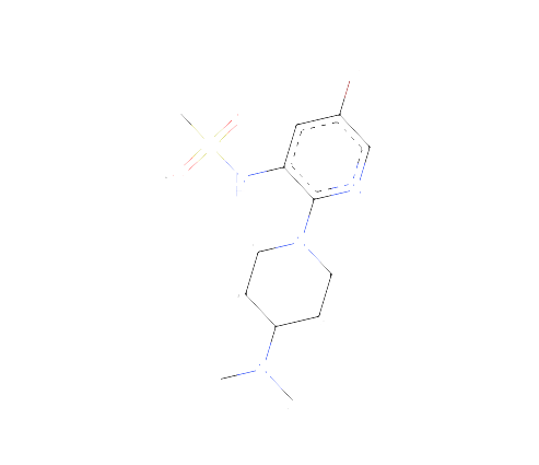 CN(C)C1CCN(c2ncc(Br)cc2NS(C)(=O)=O)CC1